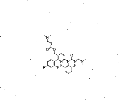 CN(C)/C=N/C(=O)OCc1ccc(N(C(=O)/N=C/N(C)C)c2c(F)cccc2F)nc1-c1ccc(F)cc1F